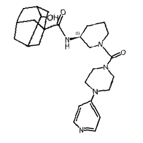 O=C(N1CCN(c2ccncc2)CC1)N1CCC[C@H](NC(=O)C23CC4CC(C2)C(O)C(C4)C3)C1